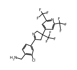 NCc1ccc(C2=NCC(c3cc(C(F)(F)F)nc(C(F)(F)F)c3)(C(F)(F)F)C2)cc1Cl